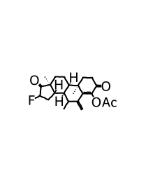 C=C1C2=C(OC(C)=O)C(=O)CC[C@]2(C)[C@@H]2CC[C@]3(C)C(=O)C(F)C[C@H]3[C@@H]2C1C